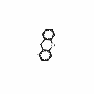 [C]1c2[c]cccc2Oc2ccccc21